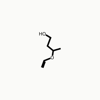 C=COC(C)CCO